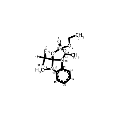 CCOS(=O)(=O)OC1(C(F)(F)F)N(C)c2ccccc2N1CC